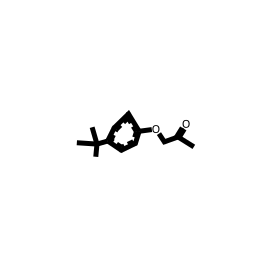 CC(=O)COc1ccc(C(C)(C)C)cc1